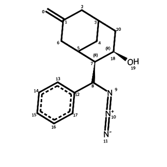 C=C1CC2CC(C1)[C@H](C(N=[N+]=[N-])c1ccccc1)[C@H](O)C2